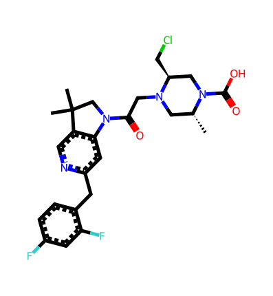 C[C@@H]1CN(CC(=O)N2CC(C)(C)c3cnc(Cc4ccc(F)cc4F)cc32)[C@@H](CCl)CN1C(=O)O